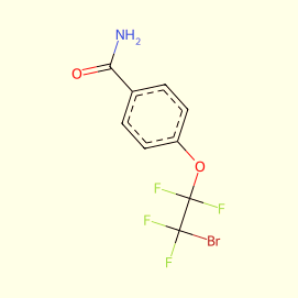 NC(=O)c1ccc(OC(F)(F)C(F)(F)Br)cc1